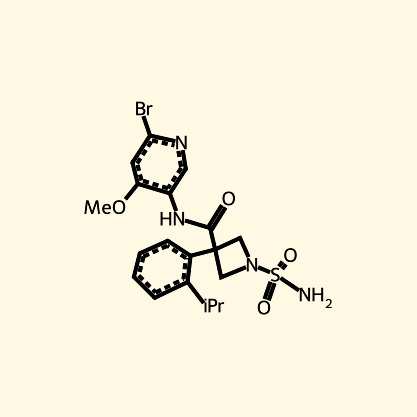 COc1cc(Br)ncc1NC(=O)C1(c2ccccc2C(C)C)CN(S(N)(=O)=O)C1